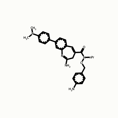 CCCN(OCc1ccc(N)cc1)C(=O)C1=Cc2ccc(-c3ccc(N(C)C)cc3)cc2N=C(N)C1